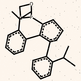 CC(C)c1ccccc1-c1cccc(P2OCO2)c1-c1ccccc1C(C)C